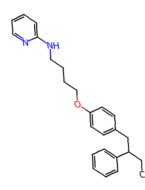 O=C(O)CC(Cc1ccc(OCCCCNc2ccccn2)cc1)c1ccccc1